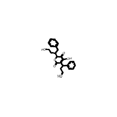 O=C1OC(C(CCO)Cc2ccccc2)C(=O)C(O)=C1C(CCO)c1ccccc1